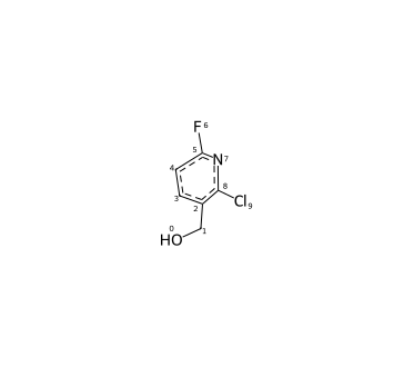 OCc1ccc(F)nc1Cl